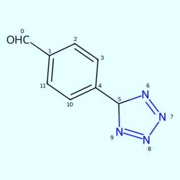 O=Cc1ccc(C2N=NN=N2)cc1